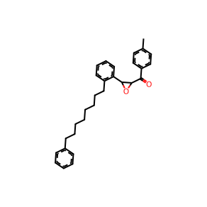 Cc1ccc(C(=O)C2OC2c2ccccc2CCCCCCCCc2ccccc2)cc1